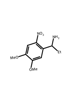 CCC(N)c1cc(OC)c(OC)cc1[N+](=O)[O-]